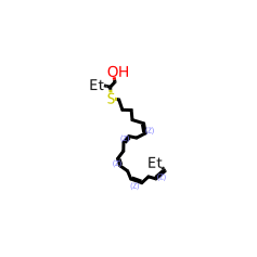 CC/C=C\C/C=C\C/C=C\C/C=C\C/C=C\CCCCSC(CC)CO